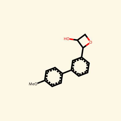 COc1ccc(-c2cccc(C3OCC3O)c2)cc1